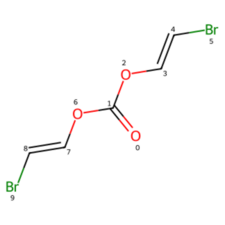 O=C(OC=CBr)OC=CBr